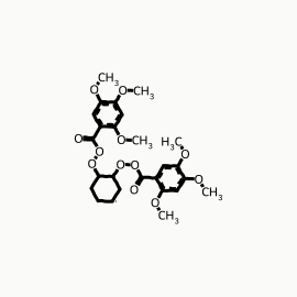 COc1cc(OC)c(C(=O)OO[C]2CC[CH]CC2OOC(=O)c2cc(OC)c(OC)cc2OC)cc1OC